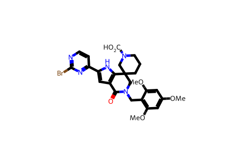 COc1cc(OC)c(CN2CC3(CCCN(C(=O)O)C3)c3[nH]c(-c4ccnc(Br)n4)cc3C2=O)c(OC)c1